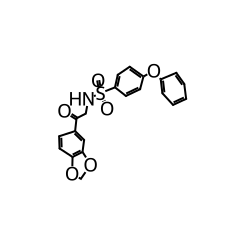 O=C(CNS(=O)(=O)c1ccc(Oc2ccccc2)cc1)c1ccc2c(c1)OCO2